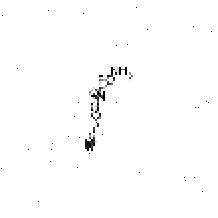 Nc1ccc(C=Cc2nc(COc3ccc(CCCCn4ccnn4)cc3)co2)c(F)c1